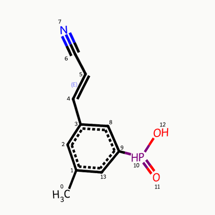 Cc1cc(/C=C/C#N)cc([PH](=O)O)c1